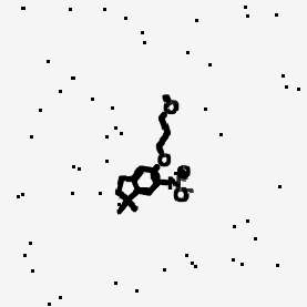 COCCCOc1cc2c(cc1[N+](=O)[O-])C(C)(C)CC2